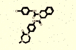 CN1CCCN(c2ccc(NC(=O)[C@H]3Cc4ccccc4CN3C(=O)Nc3ccc(Cl)cc3)cc2)C(=O)C1